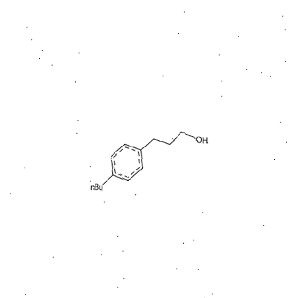 CCCCc1ccc(CCCO)cc1